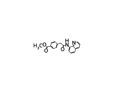 COC(=O)c1ccc(CC(=O)Nc2cccc3cccnc23)cc1